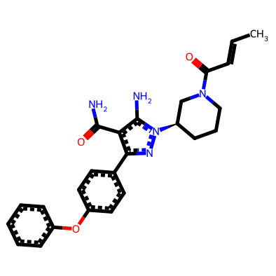 C/C=C/C(=O)N1CCC[C@@H](n2nc(-c3ccc(Oc4ccccc4)cc3)c(C(N)=O)c2N)C1